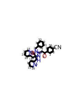 N#Cc1ccc(C(=O)/C=C2\NC(Cc3ccccn3)(Cc3ccccn3)C(=O)N2Cc2ccccc2)cc1